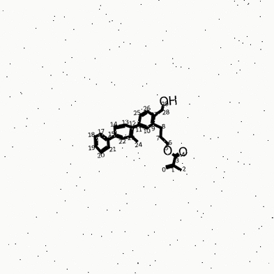 C=C(C)C(=O)OCCCc1cc(-c2ccc(-c3ccccc3)cc2C)ccc1CO